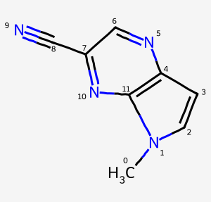 Cn1ccc2ncc(C#N)nc21